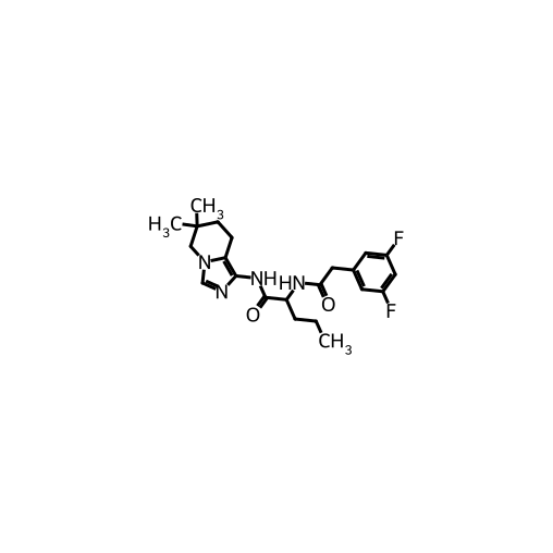 CCCC(NC(=O)Cc1cc(F)cc(F)c1)C(=O)Nc1ncn2c1CCC(C)(C)C2